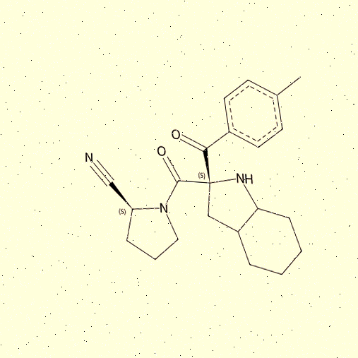 Cc1ccc(C(=O)[C@]2(C(=O)N3CCC[C@H]3C#N)CC3CCCCC3N2)cc1